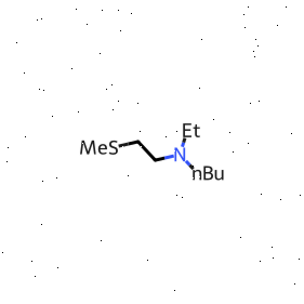 CCCCN(CC)CCSC